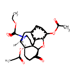 CCOC(=O)N1CCC23c4c5ccc(OC(C)=O)c4OC2C(=O)CC[C@@]3(OC(C)=O)[C@H]1C5